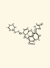 COc1ccc2c(OC3=CC(C)C(OCCN4CCCCC4)C=C3)c(C3CC=C(Cl)S3)ccc2c1